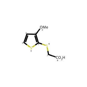 COc1ccsc1SCC(=O)O